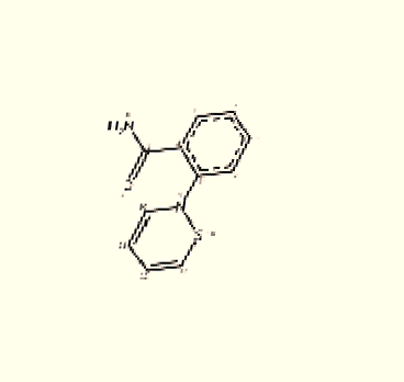 NC(=O)c1ccccc1N1C=CC=CS1